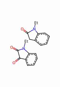 CCN1C(=O)C(=O)c2ccccc21.CCN1C(=O)Cc2ccccc21